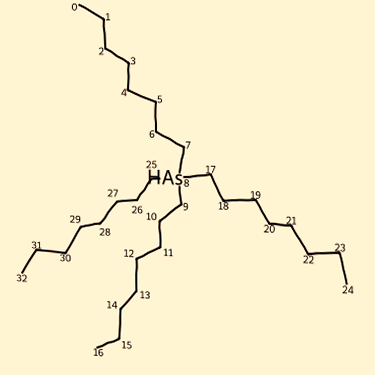 CCCCCCCC[AsH](CCCCCCCC)(CCCCCCCC)CCCCCCCC